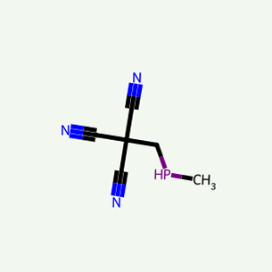 CPCC(C#N)(C#N)C#N